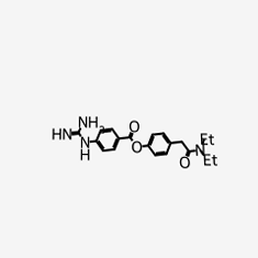 CCN(CC)C(=O)Cc1ccc(OC(=O)c2ccc(NC(=N)N)cc2)cc1